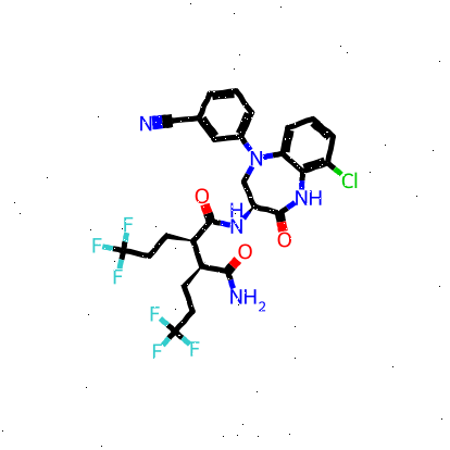 N#Cc1cccc(N2C[C@H](NC(=O)[C@H](CCC(F)(F)F)[C@H](CCC(F)(F)F)C(N)=O)C(=O)Nc3c(Cl)cccc32)c1